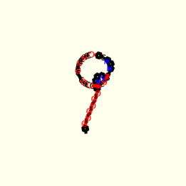 Cc1ccc(OCCOCCOCCOCCOCCOc2ccc(-c3ccc4ccc5ccc(-c6cc7ccc6OCCOCCOCCOCC=CCOCCOCCOCCOc6ccc(cc6)Cc6ccc8ccc9ccc-7nc9c8n6)nc5c4n3)cc2)cc1